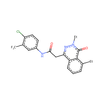 CCc1cccc2c(CC(=O)Nc3ccc(Cl)c(C(F)(F)F)c3)nn(CC)c(=O)c12